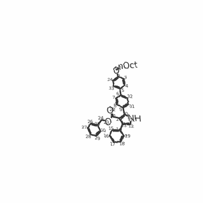 CCCCCCCCOc1ccc(-c2ccc(-c3[nH]cc(-c4ccccc4)c3C(=O)OCc3ccccc3)cc2)cc1